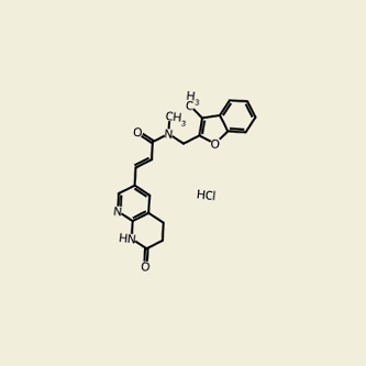 Cc1c(CN(C)C(=O)C=Cc2cnc3c(c2)CCC(=O)N3)oc2ccccc12.Cl